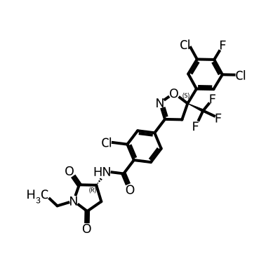 CCN1C(=O)C[C@@H](NC(=O)c2ccc(C3=NO[C@@](c4cc(Cl)c(F)c(Cl)c4)(C(F)(F)F)C3)cc2Cl)C1=O